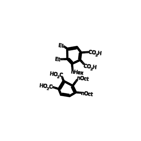 CCCCCCCCc1ccc(C(=O)O)c(C(=O)O)c1CCCCCCCC.CCCCCCc1c(CC)c(CC)cc(C(=O)O)c1C(=O)O